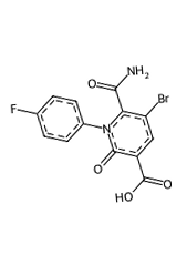 NC(=O)c1c(Br)cc(C(=O)O)c(=O)n1-c1ccc(F)cc1